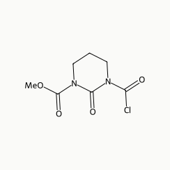 COC(=O)N1CCCN(C(=O)Cl)C1=O